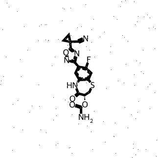 N#CC1(c2nc(-c3cc4c(cc3F)SC[C@H](OC(N)=O)C(=O)N4)no2)CC1